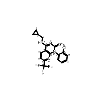 O=c1nc(NCC2CC2)c2ccc(C(F)(F)F)nc2n1-c1ccccc1Cl